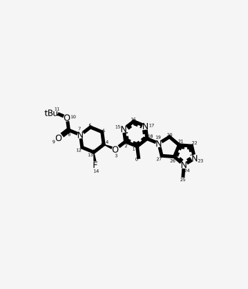 Cc1c(O[C@@H]2CCN(C(=O)OC(C)(C)C)C[C@@H]2F)ncnc1N1Cc2cnn(C)c2C1